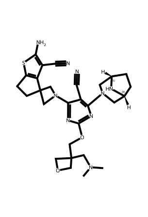 CN(C)CC1(COc2nc(N3C[C@H]4CC[C@@H](C3)N4)c(C#N)c(N3CC4(CCc5sc(N)c(C#N)c54)C3)n2)COC1